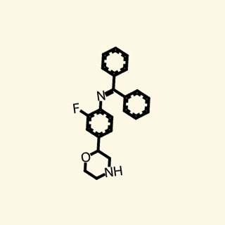 Fc1cc(C2CNCCO2)ccc1N=C(c1ccccc1)c1ccccc1